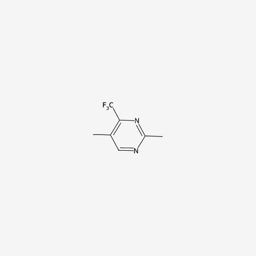 Cc1ncc(C)c(C(F)(F)F)n1